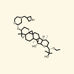 CCO[C@@H](C1C[C@@H](C)[C@H]2C(O1)[C@H](O)[C@@]1(C)C3CC[C@H]4C(C)(C)[C@@H](O[C@H]5CN(CC6CNC6)CCO5)CC[C@@]45CC35CC[C@]21C)C(C)(C)O